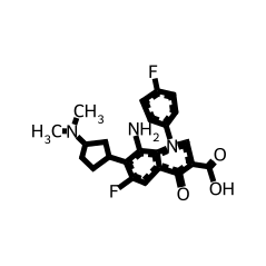 CN(C)C1CCC(c2c(F)cc3c(=O)c(C(=O)O)cn(-c4ccc(F)cc4)c3c2N)C1